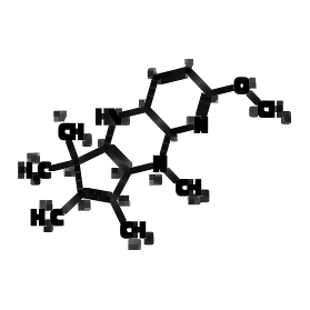 COC1=NC2C(C=C1)NC1=C(C(C)=C(C)C1(C)C)N2C